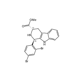 COC(=O)[C@@H]1Cc2c([nH]c3ccccc23)[C@@H](c2ccc(Br)cc2Br)N1